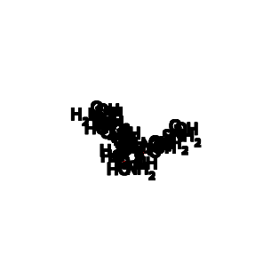 CC(C)C(N)C(=O)O.CC(C)CC(N)C(=O)O.CC(N)C(=O)O.CCC(C)C(N)C(=O)O.CSCCC(N)C(=O)O.NC(CS)C(=O)O.NC(Cc1c[nH]c2ccccc12)C(=O)O.NC(Cc1ccccc1)C(=O)O.NCC(=O)O.O=C(O)[C@@H]1CCCN1